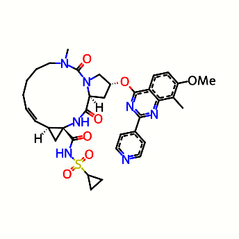 COc1ccc2c(O[C@@H]3C[C@H]4C(=O)N[C@]5(C(=O)NS(=O)(=O)C6CC6)C[C@H]5/C=C\CCCCN(C)C(=O)N4C3)nc(-c3ccncc3)nc2c1C